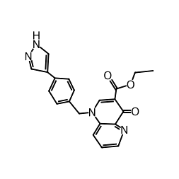 CCOC(=O)c1cn(Cc2ccc(-c3cn[nH]c3)cc2)c2cccnc2c1=O